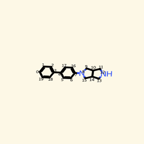 c1ccc(-c2ccc(N3CC4CNCC4C3)cc2)cc1